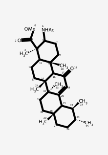 COC(=O)[C@@]1(C)C(NC(C)=O)CC[C@@]2(C)C1CC[C@]1(C)C2C(=O)C=C2C3[C@@H](C)[C@H](C)CC[C@]3(C)CC[C@]21C